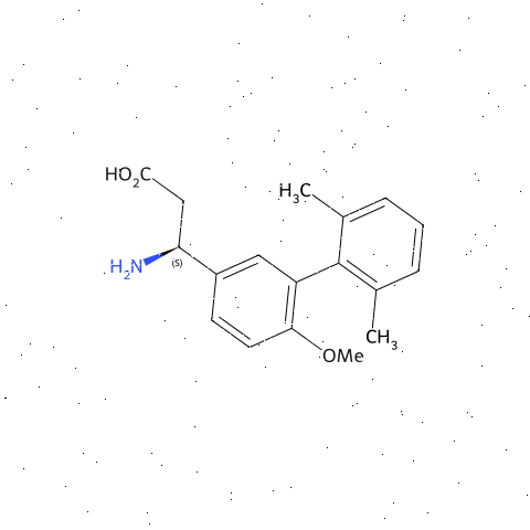 COc1ccc([C@@H](N)CC(=O)O)cc1-c1c(C)cccc1C